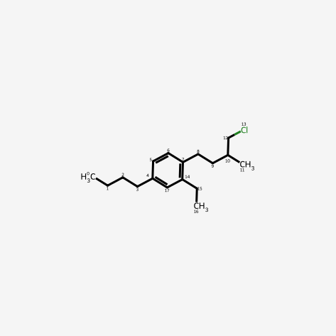 CCCCc1ccc(CCC(C)CCl)c(CC)c1